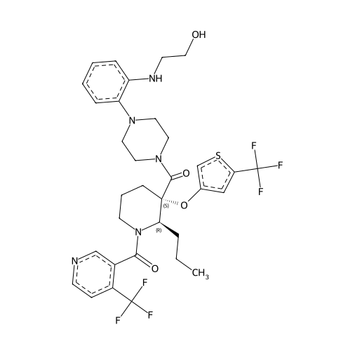 CCC[C@H]1N(C(=O)c2cnccc2C(F)(F)F)CCC[C@@]1(Oc1csc(C(F)(F)F)c1)C(=O)N1CCN(c2ccccc2NCCO)CC1